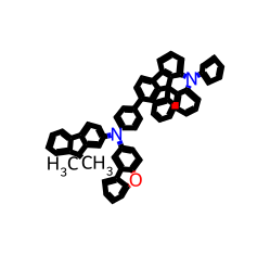 CC1(C)c2ccccc2-c2ccc(N(c3ccc(-c4ccc5c(c4)C4(c6ccccc6)c6ccccc6N(c6ccccc6)c6cccc-5c64)cc3)c3ccc4oc5ccccc5c4c3)cc21